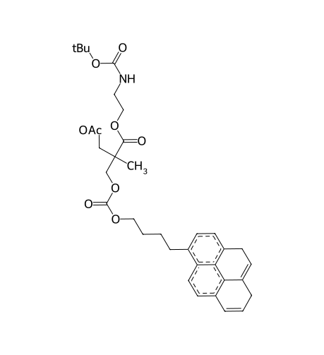 CC(=O)OCC(C)(COC(=O)OCCCCc1ccc2c3c4c(ccc13)C=CCC4=CC2)C(=O)OCCNC(=O)OC(C)(C)C